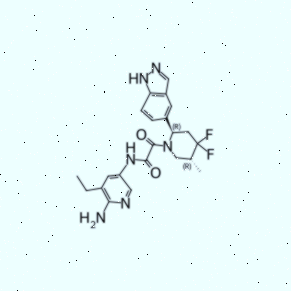 CCc1cc(NC(=O)C(=O)N2C[C@@H](C)C(F)(F)C[C@@H]2c2ccc3[nH]ncc3c2)cnc1N